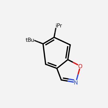 CC(C)c1cc2oncc2cc1C(C)(C)C